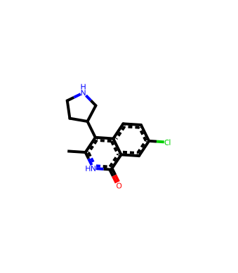 Cc1[nH]c(=O)c2cc(Cl)ccc2c1C1CCNC1